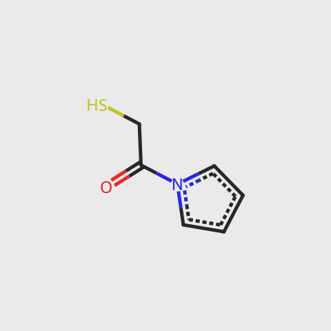 O=C(CS)n1cccc1